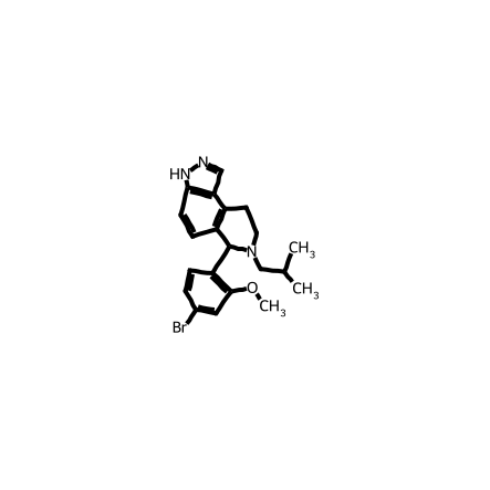 COc1cc(Br)ccc1C1c2ccc3[nH]ncc3c2CCN1CC(C)C